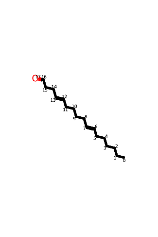 CCCCCCC=CCCCCC=CCCC=O